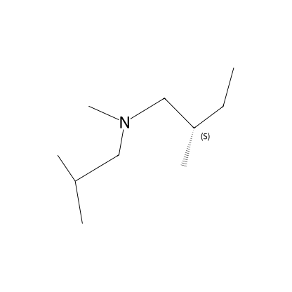 CC[C@H](C)CN(C)CC(C)C